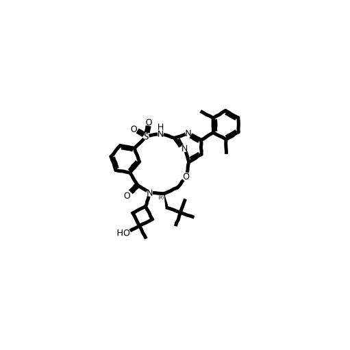 Cc1cccc(C)c1-c1cc2nc(n1)NS(=O)(=O)c1cccc(c1)C(=O)N(C1CC(C)(O)C1)[C@H](CC(C)(C)C)CO2